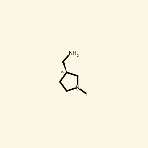 NC[C@@H]1CCN(I)C1